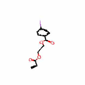 C=CC(=O)OCCOC(=O)c1ccc(I)cc1